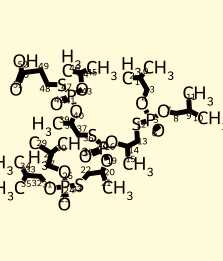 CC(C)COP(=O)(OCC(C)C)SCC(C)OP(=O)(OC(C)CSP(=O)(OCC(C)C)OCC(C)C)SCC(C)OP(=O)(OC(C)C)SCCC(=O)O